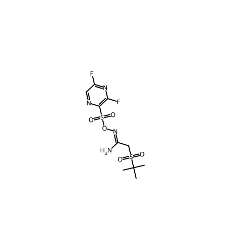 CC(C)(C)S(=O)(=O)CC(N)=NOS(=O)(=O)c1ncc(F)nc1F